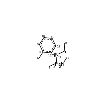 CCNCC.CN.Cc1ccccc1